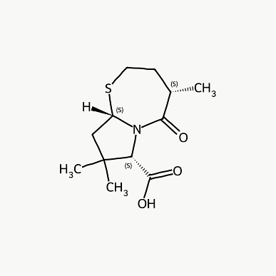 C[C@H]1CCS[C@H]2CC(C)(C)[C@@H](C(=O)O)N2C1=O